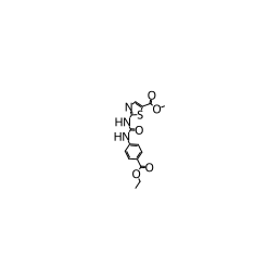 CCOC(=O)c1ccc(NC(=O)Nc2ncc(C(=O)OC)s2)cc1